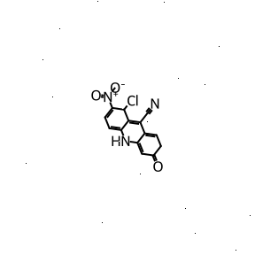 N#CC1=C2C(=CC=C([N+](=O)[O-])C2Cl)NC2=CC(=O)CC=C21